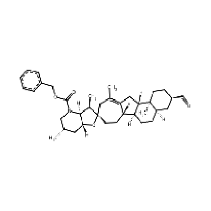 CC1=C2C[C@H]3[C@@H](CC[C@@H]4C[C@H](C=O)CC[C@@]43C)[C@@H]2CC[C@@]2(C1)O[C@@H]1C[C@H](C)CN(C(=O)OCc3ccccc3)[C@H]1[C@H]2C